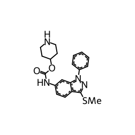 CSc1nn(-c2ccccc2)c2cc(NC(=O)OC3CCNCC3)ccc12